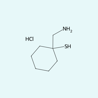 Cl.NCC1(S)CCCCC1